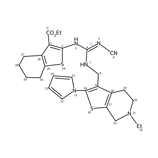 CCOC(=O)c1c(N/C(=N/C#N)NCc2c(-n3cccc3)sc3c2CCN(CC)C3)sc2c1CCCC2